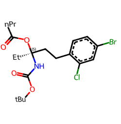 CCCC(=O)O[C@@](CC)(CCc1ccc(Br)cc1Cl)NC(=O)OC(C)(C)C